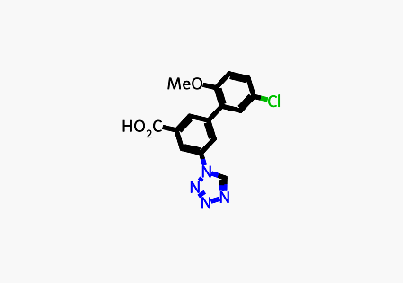 COc1ccc(Cl)cc1-c1cc(C(=O)O)cc(-n2cnnn2)c1